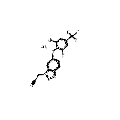 C.N#CCn1nnc2ccc(Oc3c(F)cc(C(F)(F)F)cc3Cl)cc21